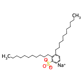 CCCCCCCCCCCc1cccc(S(=O)(=O)[O-])c1CCCCCCCCCCC.[Na+]